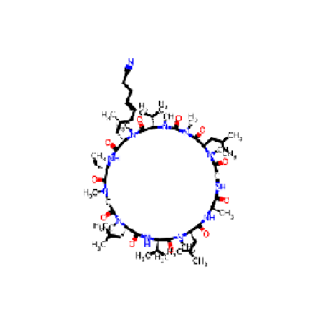 CC[C@@H]1NC(=O)[C@H](C[C@H](C)C/C=C/CCC#N)N(C)C(=O)[C@H](C(C)C)N(C)C(=O)N(C)C(=O)C(CC(C)C)N(C)C(=O)CNC(=O)[C@@H](C)NC(=O)[C@@H](CC(C)C)N(C)C(=O)[C@@H](C(C)C)NC(=O)[C@H](CC(C)C)N(C)C(=O)CN(C)C1=O